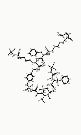 C/C(=C\[C@H](C(C)C)N(C)C(=O)[C@@H](NC(=O)[C@@H](N(C)C(=O)OC(C)(C)C)C(C)(C)c1ccccc1)C(C)(C)C)C(=O)NS(=O)(=O)Cc1ccc(CNC(=O)[C@@H](CCCCNC(=O)OC(C)(C)C)NC(=O)[C@@H](Cc2ccccc2)NC(=O)CCCCCN2C(=O)C=CC2=O)cc1